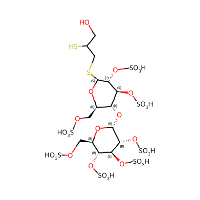 O=S(=O)(O)OC[C@H]1O[C@@H](SCC(S)CO)[C@H](OS(=O)(=O)O)[C@@H](OS(=O)(=O)O)[C@@H]1O[C@H]1O[C@H](COS(=O)(=O)O)[C@@H](OS(=O)(=O)O)[C@H](OS(=O)(=O)O)[C@H]1OS(=O)(=O)O